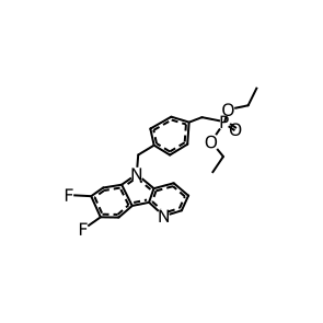 CCOP(=O)(Cc1ccc(Cn2c3cc(F)c(F)cc3c3ncccc32)cc1)OCC